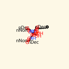 CCCCCCCCCCC[C@H](CC(=O)NCC1C(NC(=O)C[C@@H](CCCCCCCCCCC)OC(=O)CCCCCCCc2ccccc2)[C@H](OP(=O)(O)O)C(CO)O[C@H]1OCCNC(=O)C[C@@H](CCCCCCCCCC)OC(=O)CCCCCCCCC)OC(=O)CCCCCCCCC